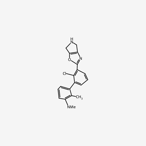 CNc1cccc(-c2cccc(-c3nc4c(o3)CNC4)c2Cl)c1C